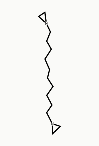 C(CCCCCN1CC1)CCCCN1CC1